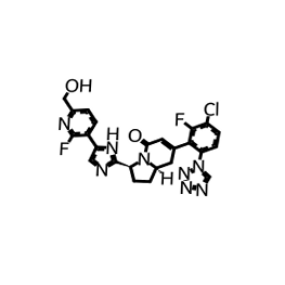 O=C1C=C(c2c(-n3cnnn3)ccc(Cl)c2F)C[C@H]2CC[C@@H](c3ncc(-c4ccc(CO)nc4F)[nH]3)N12